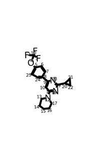 FC(F)(F)Oc1ccc(-c2cc(N3CCCCC3)nc(C3CC3)n2)cc1